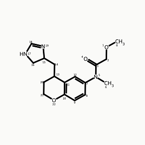 COCC(=O)N(C)c1ccc2c(c1)C(CC1CNC=N1)CCO2